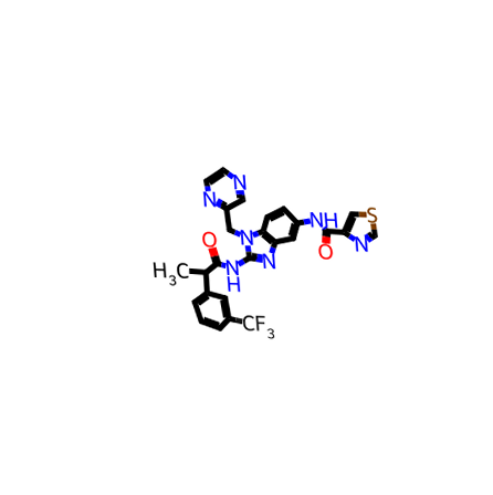 CC(C(=O)Nc1nc2cc(NC(=O)c3cscn3)ccc2n1Cc1cnccn1)c1cccc(C(F)(F)F)c1